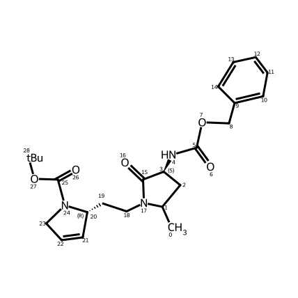 CC1C[C@H](NC(=O)OCc2ccccc2)C(=O)N1CC[C@@H]1C=CCN1C(=O)OC(C)(C)C